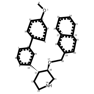 COc1ccc(-c2cccc([C@H]3CCNC[C@@H]3OCc3ccc4ccccc4c3)c2)cc1